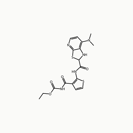 CCOC(=O)NC(=O)c1ccsc1NC(=O)C1Nc2c(N(C)C)ccnc2S1